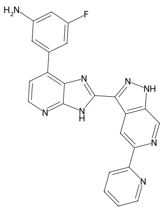 Nc1cc(F)cc(-c2ccnc3[nH]c(-c4n[nH]c5cnc(-c6ccccn6)cc45)nc23)c1